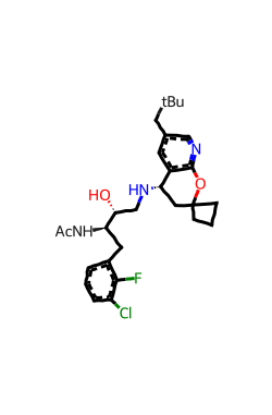 CC(=O)N[C@H](Cc1cccc(Cl)c1F)[C@H](O)CN[C@H]1CC2(CCC2)Oc2ncc(CC(C)(C)C)cc21